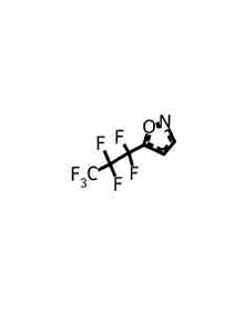 FC(F)(F)C(F)(F)C(F)(F)c1ccno1